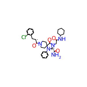 NC(=O)[C@H]1N(CC(=O)NC2CCCCC2)C(=O)C2(CCN(C(=O)[CH]Cc3ccccc3Cl)CC2)N1c1ccccc1